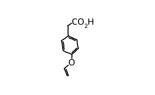 C=COc1ccc(CC(=O)O)cc1